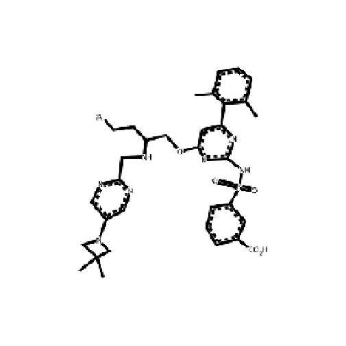 Cc1cccc(C)c1-c1cc(OCC(CCC(C)C)NCc2ncc(N3CC(C)(C)C3)cn2)nc(NS(=O)(=O)c2cccc(C(=O)O)c2)n1